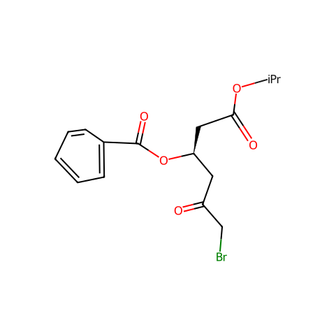 CC(C)OC(=O)C[C@@H](CC(=O)CBr)OC(=O)c1ccccc1